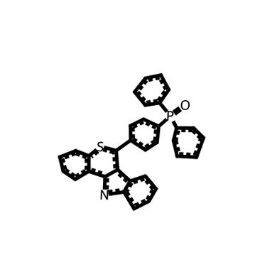 O=P(c1ccccc1)(c1ccccc1)c1ccc(-c2sc3ccccc3c3nc4ccccc4c2-3)cc1